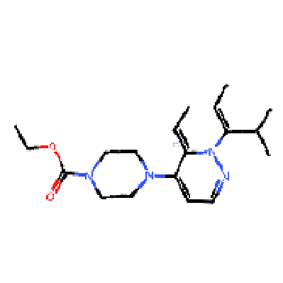 CC=C(C(C)C)N1N=CC=C(N2CCN(C(=O)OCC)CC2)/C1=C/C